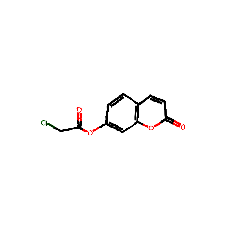 O=C(CCl)Oc1ccc2ccc(=O)oc2c1